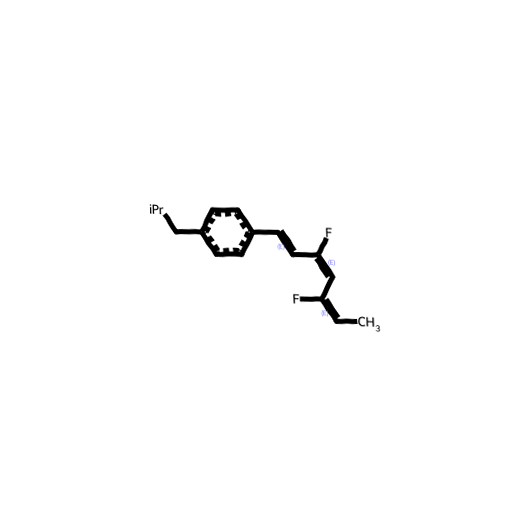 C\C=C(F)/C=C(F)\C=C\c1ccc(CC(C)C)cc1